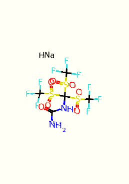 NC(=O)NC(S(=O)(=O)C(F)(F)F)(S(=O)(=O)C(F)(F)F)S(=O)(=O)C(F)(F)F.[NaH]